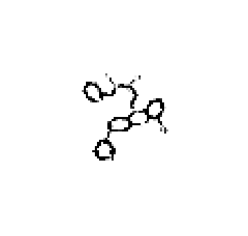 CC[C@@H](CCN1c2ccc(-c3cccnc3)cc2Oc2c(O)cccc21)N(CC)Cc1ccccn1